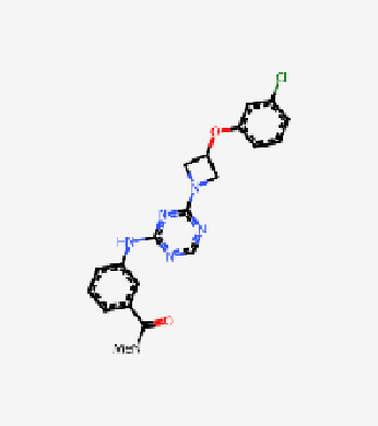 CNC(=O)c1cccc(Nc2ncnc(N3CC(Oc4cccc(Cl)c4)C3)n2)c1